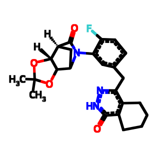 CC1(C)OC2C3C[C@H](C(=O)N3c3cc(Cc4n[nH]c(=O)c5c4CCCC5)ccc3F)[C@H]2O1